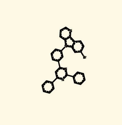 Brc1ccc2c3ncccc3n(-c3cccc(-c4cc(-c5ccccc5)nc(-c5ccccc5)n4)c3)c2c1